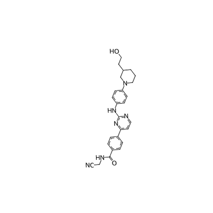 N#CCNC(=O)c1ccc(-c2ccnc(Nc3ccc(N4CCCC(CCO)C4)cc3)n2)cc1